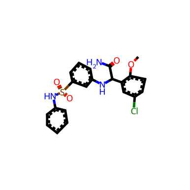 COc1ccc(Cl)cc1C(Nc1cccc(S(=O)(=O)Nc2ccccc2)c1)C(N)=O